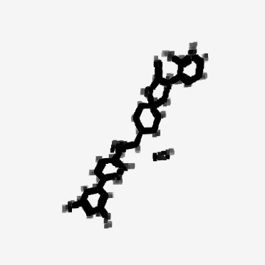 Cl.O=C1O[C@]2(CC[C@H](CNc3ccc(-c4cc(F)cc(F)c4)nn3)CC2)CN1c1cccnc1F